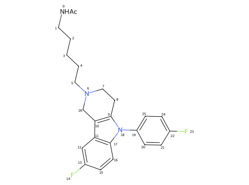 CC(=O)NCCCCCN1CCc2c(c3cc(F)ccc3n2-c2ccc(F)cc2)C1